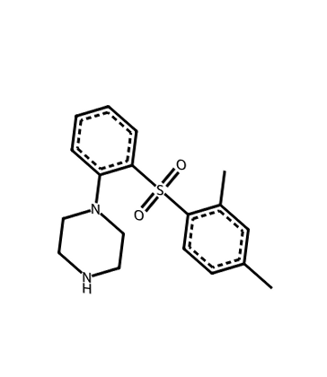 Cc1ccc(S(=O)(=O)c2ccccc2N2CCNCC2)c(C)c1